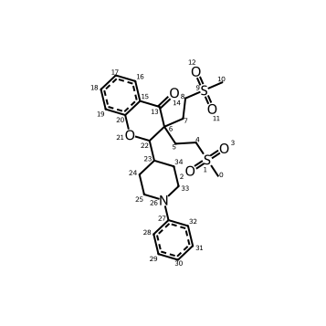 CS(=O)(=O)CCC1(CCS(C)(=O)=O)C(=O)c2ccccc2OC1C1CCN(c2ccccc2)CC1